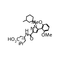 COc1cccc(OC)c1-c1cc(C(=O)N[C@H](CC(=O)O)CC(C)C)nn1CC1CCCC(C)C1